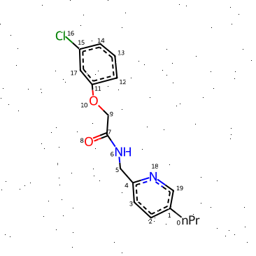 CCCc1ccc(CNC(=O)COc2cccc(Cl)c2)nc1